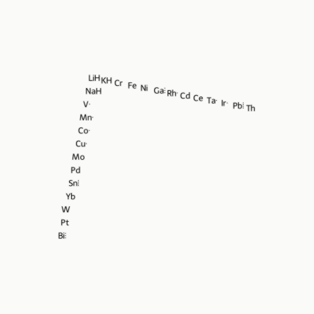 [Bi].[Cd].[Ce].[Co].[Cr].[Cu].[Fe].[Ga].[Ir].[KH].[LiH].[Mn].[Mo].[NaH].[Ni].[Pb].[Pd].[Pt].[Rh].[Sn].[Ta].[Th].[V].[W].[Yb]